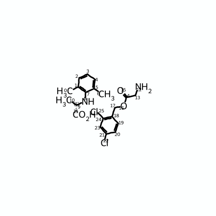 Cc1cccc(C)c1N[C@@H](C)C(=O)O.NCC(=O)OCc1ccc(Cl)cc1Cl